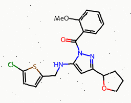 COc1ccccc1C(=O)n1nc(C2CCCO2)cc1NCc1ccc(Cl)s1